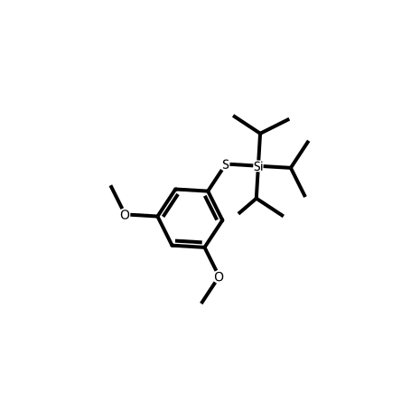 COc1cc(OC)cc(S[Si](C(C)C)(C(C)C)C(C)C)c1